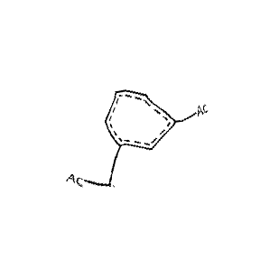 CC(=O)[CH]c1cccc(C(C)=O)c1